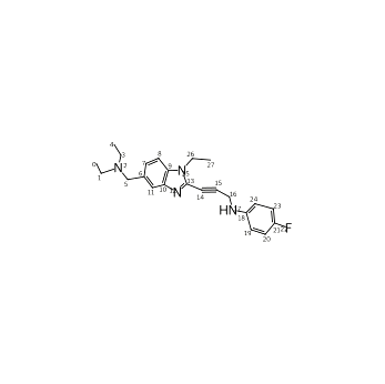 CCN(CC)Cc1ccc2c(c1)nc(C#CCNc1ccc(F)cc1)n2CC